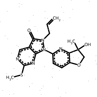 C=CCn1c(=O)c2cnc(SC)nc2n1-c1ccc2c(n1)C(C)(O)CO2